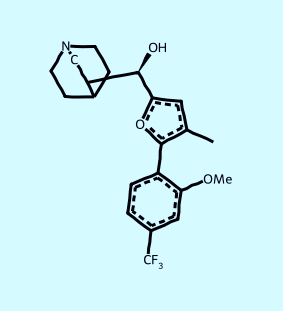 COc1cc(C(F)(F)F)ccc1-c1oc([C@H](O)C2CN3CCC2CC3)cc1C